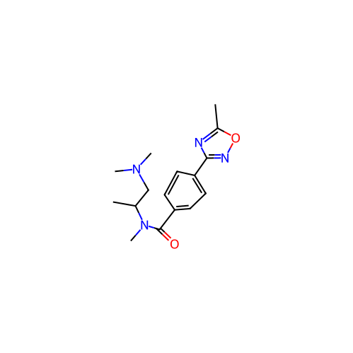 Cc1nc(-c2ccc(C(=O)N(C)C(C)CN(C)C)cc2)no1